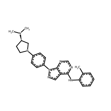 Cc1ccccc1Nc1ncnc2c1cnn2-c1ccc(N2CC[C@@H](N(C)C)C2)cc1